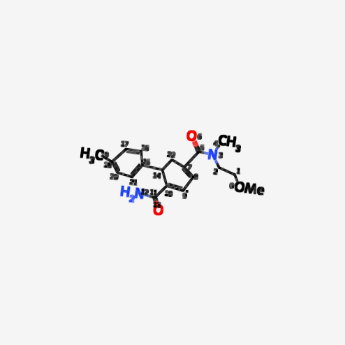 COCCN(C)C(=O)C1=C[C]=C(C(N)=O)C(c2ccc(C)cc2)C1